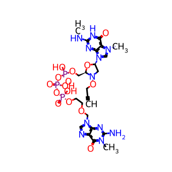 C#CCON1C[C@H](n2c[n+](C)c3c(=O)[nH]c(NC)nc32)O[C@@H]1COP(=O)(O)OP(=O)(O)OP(=O)(O)OCCOCn1cnc2c(=O)n(C)c(N)nc21